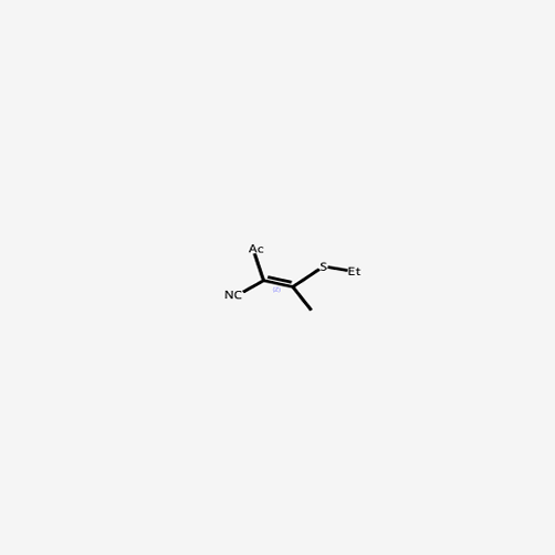 CCS/C(C)=C(/C#N)C(C)=O